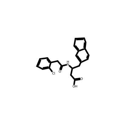 O=C(O)CC(Cc1ccc2ccccc2c1)NC(=O)Cc1ccccc1Cl